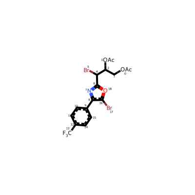 CC(=O)OCC(OC(C)=O)C(Br)c1nc(-c2ccc(C(F)(F)F)cc2)c(Br)o1